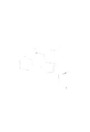 CC(C)C[C@H](N)c1cn([C@@H](CCC(=O)O)C(=O)N2CCNCC2)nn1